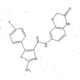 Cc1nc(C(=O)Nc2ccc3c(c2)OCC(=O)N3)c(-c2ccc(F)cc2)s1